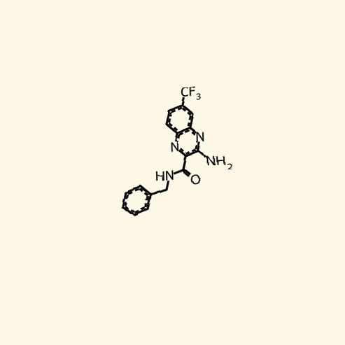 Nc1nc2cc(C(F)(F)F)ccc2nc1C(=O)NCc1ccccc1